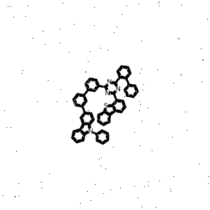 c1ccc(-c2ccccc2-c2nc(-c3cccc(-c4cccc(-c5ccc6c(c5)c5ccccc5n6-c5ccccc5)c4)c3)nc(-c3cccc4c3sc3ccccc34)n2)cc1